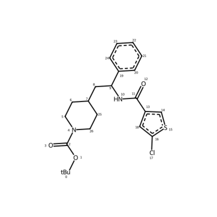 CC(C)(C)OC(=O)N1CCC(CC(NC(=O)c2csc(Cl)c2)c2ccccc2)CC1